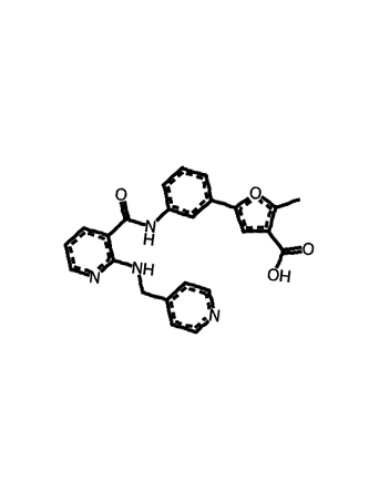 Cc1oc(-c2cccc(NC(=O)c3cccnc3NCc3ccncc3)c2)cc1C(=O)O